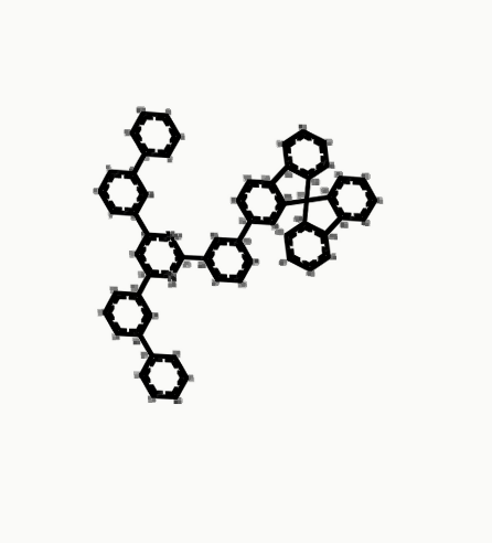 c1ccc(-c2cccc(-c3cc(-c4cccc(-c5ccccc5)c4)nc(-c4cccc(-c5ccc6c(c5)C5(c7ccccc7-c7ccccc75)c5ccccc5-6)c4)n3)c2)cc1